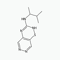 CC(C)C(C)NC1=Nc2cnncc2SN1